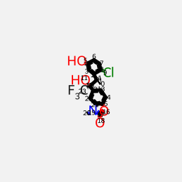 C[C@H](c1cc(O)ccc1Cl)[C@@](O)(c1ccc2oc(=O)n(C)c2c1)C(F)(F)F